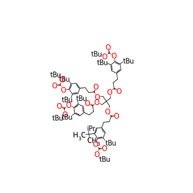 CC(C)C(C)(C)c1cc(CCC(=O)OCC(COC(=O)CCc2cc(C(C)(C)C)c(OC(=O)OC(C)(C)C)c(C(C)(C)C)c2)(COC(=O)CCc2cc(C(C)(C)C)c(OC(=O)OC(C)(C)C)c(C(C)(C)C)c2)COC(=O)CCc2cc(C(C)(C)C)c(OC(=O)OC(C)(C)C)c(C(C)(C)C)c2)cc(C(C)(C)C)c1OC(=O)OC(C)(C)C